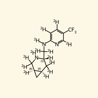 [2H]c1nc(N([2H])C([2H])([2H])[C@@]2([2H])N([2H])C([2H])([2H])[C@]3([2H])C[C@]3([2H])C2([2H])[2H])c([2H])c([2H])c1C(F)(F)F